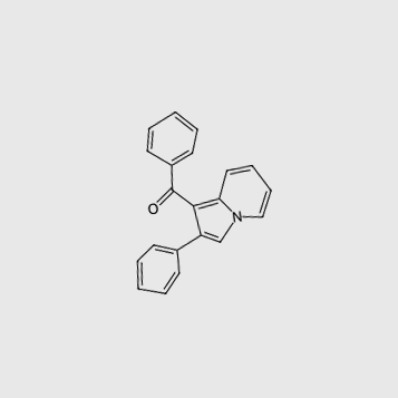 O=C(c1ccccc1)c1c(-c2ccccc2)cn2ccccc12